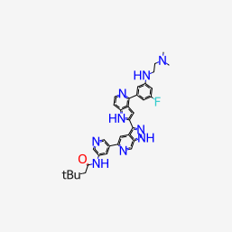 CN(C)CCNc1cc(F)cc(-c2nccc3[nH]c(-c4n[nH]c5cnc(-c6cncc(NC(=O)CC(C)(C)C)c6)cc45)cc23)c1